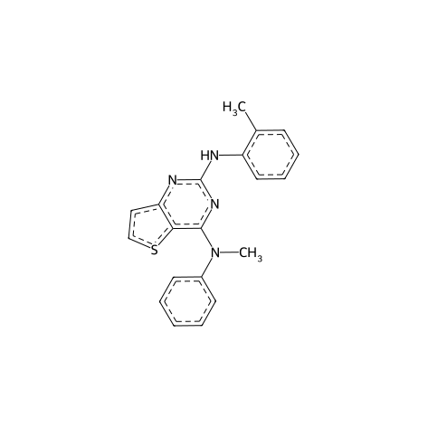 Cc1ccccc1Nc1nc(N(C)c2ccccc2)c2sccc2n1